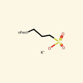 CCCCCCCCS(=O)(=O)[O-].[K+]